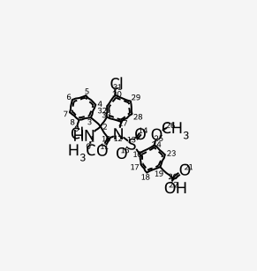 CNC1(c2ccccc2Cl)C(=O)N(S(=O)(=O)c2ccc(C(=O)O)cc2OC)c2ccc(Cl)cc21